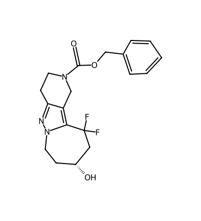 O=C(OCc1ccccc1)N1CCc2nn3c(c2C1)C(F)(F)C[C@H](O)CC3